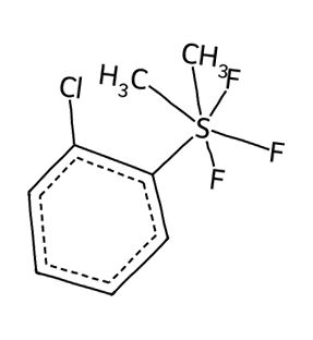 CS(C)(F)(F)(F)c1ccccc1Cl